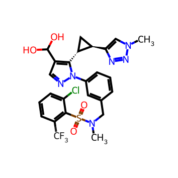 CN(Cc1cccc(-n2ncc(C(O)O)c2[C@@H]2C[C@H]2c2cn(C)nn2)c1)S(=O)(=O)c1c(Cl)cccc1C(F)(F)F